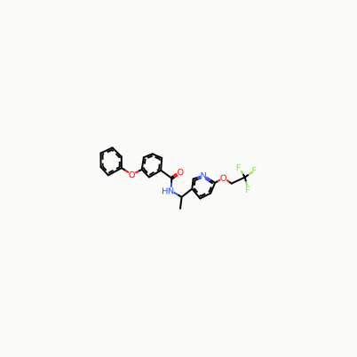 CC(NC(=O)c1cccc(Oc2ccccc2)c1)c1ccc(OCC(F)(F)F)nc1